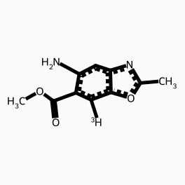 [3H]c1c(C(=O)OC)c(N)cc2nc(C)oc12